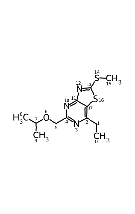 CCc1nc(COC(C)C)nc2nc(SC)sc12